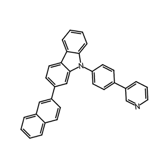 c1cncc(-c2ccc(-n3c4ccccc4c4ccc(-c5ccc6ccccc6c5)cc43)cc2)c1